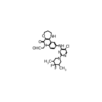 CC1CN(c2ncc(Cl)c(Nc3ccc4c(c3)c3c(c(=O)n4CC=O)OCCCN3)n2)CC(C)C1(F)F